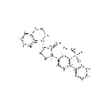 CS(=O)(=O)c1c(-c2ccccc2)ccc(N2CC[C@H](N3CC=Cc4ccccc43)C2=O)c1F